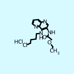 CCOCC(=O)Nc1cnc2cccnc2c1NCCCCCl.Cl